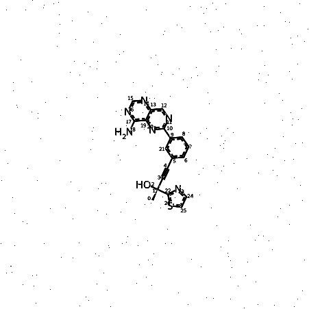 C[C@@](O)(C#Cc1cccc(-c2ncc3ncnc(N)c3n2)c1)c1nccs1